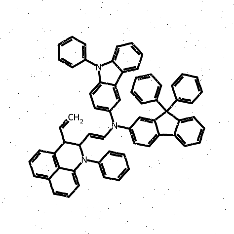 C=CC1c2cccc3cccc(c23)N(c2ccccc2)C1/C=C/N(c1ccc2c(c1)C(c1ccccc1)(c1ccccc1)c1ccccc1-2)c1ccc2c(c1)c1ccccc1n2-c1ccccc1